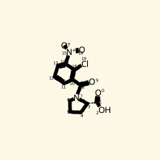 O=C(O)[C@@H]1CCCN1C(=O)c1cccc([N+](=O)[O-])c1Cl